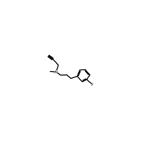 C#CCN(C)CCCc1cccc(F)c1